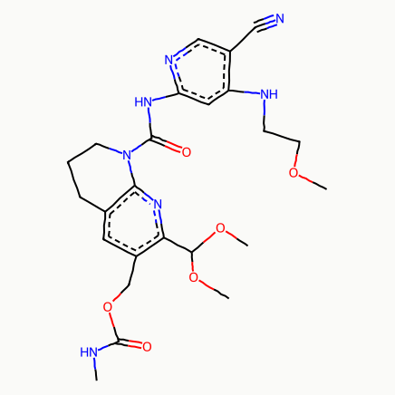 CNC(=O)OCc1cc2c(nc1C(OC)OC)N(C(=O)Nc1cc(NCCOC)c(C#N)cn1)CCC2